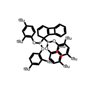 CC(C)(C)c1ccc(OP(Oc2ccc(C(C)(C)C)cc2C(C)(C)C)C2(P(Oc3ccc(C(C)(C)C)cc3C(C)(C)C)Oc3ccc(C(C)(C)C)cc3C(C)(C)C)CC=CC3=C2c2ccccc23)c(C(C)(C)C)c1